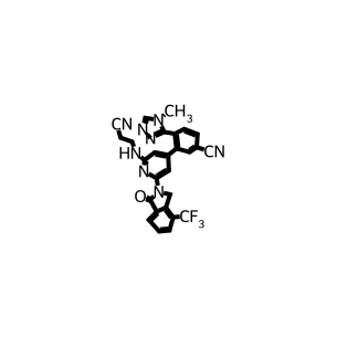 Cn1cnnc1-c1ccc(C#N)cc1-c1cc(NCCC#N)nc(N2Cc3c(cccc3C(F)(F)F)C2=O)c1